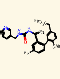 CCC(NC(=O)NCc1cccnc1)c1cc(C(F)(F)F)ccc1-c1cc(CC(=O)O)ccc1OC